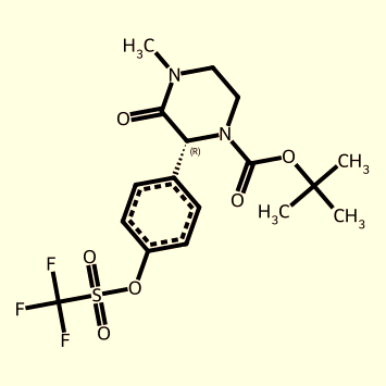 CN1CCN(C(=O)OC(C)(C)C)[C@H](c2ccc(OS(=O)(=O)C(F)(F)F)cc2)C1=O